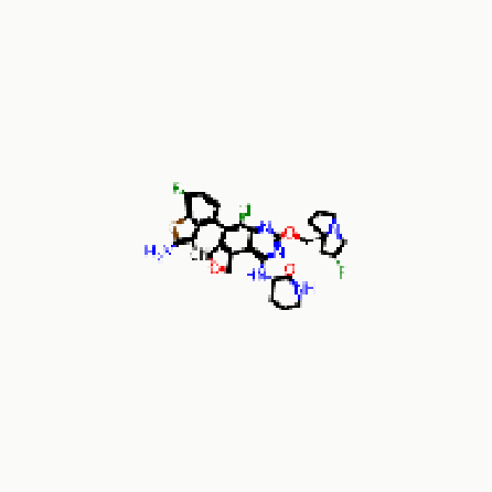 N#Cc1c(N)sc2c(F)ccc(-c3c4c(c5c(N[C@H]6CCCNC6=O)nc(OC[C@@]67CCCN6C[C@H](F)C7)nc5c3Cl)COC4)c12